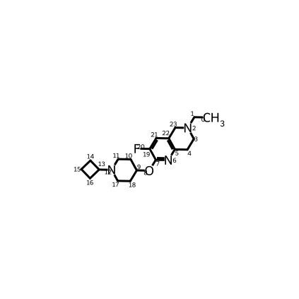 CCN1CCc2nc(OC3CCN(C4CCC4)CC3)c(F)cc2C1